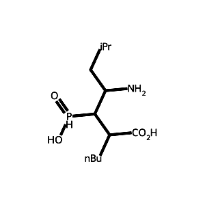 CCCCC(C(=O)O)C(C(N)CC(C)C)[PH](=O)O